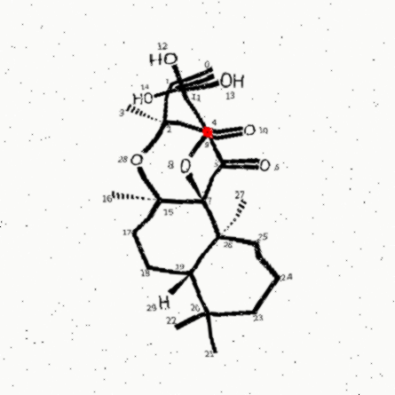 C=C[C@@]1(C)CC(=O)[C@@]2(OC(=O)C(O)(O)O)[C@@](C)(CC[C@H]3C(C)(C)CCC[C@@]32C)O1